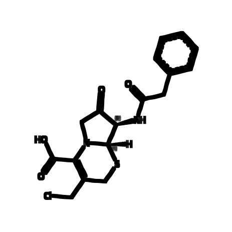 O=C(Cc1ccccc1)N[C@@H]1C(=O)CN2C(C(=O)O)=C(CCl)CS[C@H]12